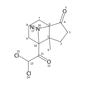 CC12CCC(=O)C13CCCC2(C(=O)C(Cl)Cl)[N+]3=[N-]